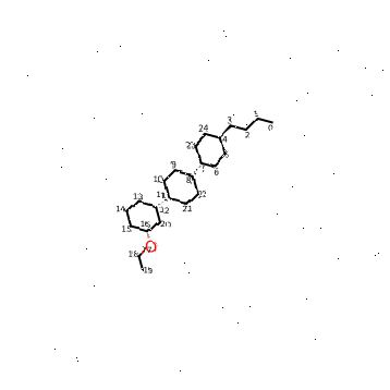 CCCC[C@H]1CC[C@H](C2CCC([C@H]3CCC[C@@H](OCC)C3)CC2)CC1